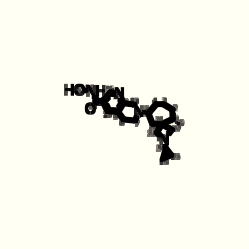 C[C@H]1CCC[C@H](N2CCc3cc(C(=O)NO)cnc3C2)CC12CN(C1CC1)C2